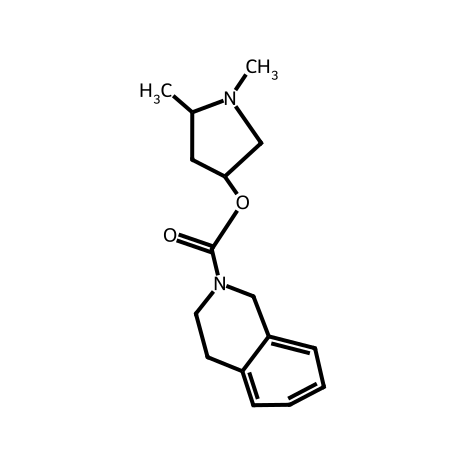 CC1CC(OC(=O)N2CCc3ccccc3C2)CN1C